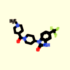 CN1CCC(C(=O)N2CCC(n3c(=O)[nH]c4cc(C(F)(F)F)ccc43)CC2)CC1